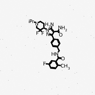 Cc1ccc(F)cc1C(=O)NCc1ccc(-c2nn(C3CCN(C(C)C)CC3(F)F)c(N)c2C(N)=O)cc1